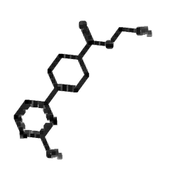 CCOC(=O)C1CC=C(c2ccnc(C)n2)CC1